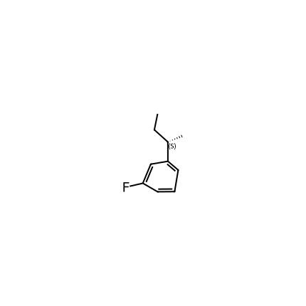 CC[C@H](C)c1cccc(F)c1